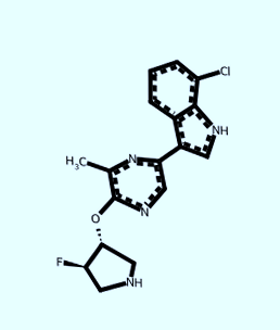 Cc1nc(-c2c[nH]c3c(Cl)cccc23)cnc1O[C@@H]1CNC[C@H]1F